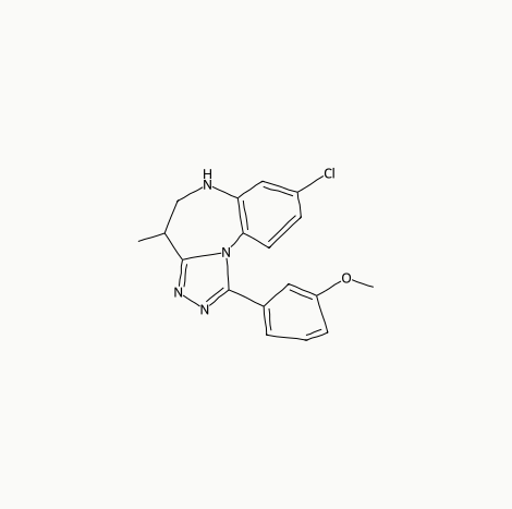 COc1cccc(-c2nnc3n2-c2ccc(Cl)cc2NCC3C)c1